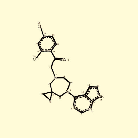 O=C(CN1CCN(c2ncnc3[nH]ccc23)CC2(CC2)C1)c1ccc(Cl)cc1Cl